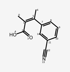 C/C(C(=O)O)=C(\C)c1cccc(C#N)c1